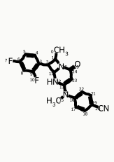 CC1C(c2ccc(F)cc2F)C2NC(N(C)c3ccc(C#N)cc3)=CC(=O)N12